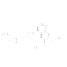 COc1cc2nncc(N3CC(CCNS(N)(=O)=O)C3)c2cc1OC